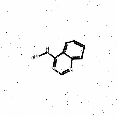 CCCNc1ncnc2ccccc12